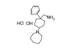 Cl.Cl.NCC1(c2ccccc2)CCC(N2CCCCCC2)CC1